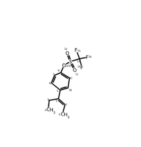 CC=C(CC)c1ccc(OS(=O)(=O)C(F)(F)F)cc1